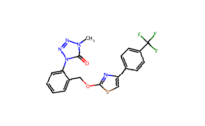 Cn1nnn(-c2ccccc2COc2nc(-c3ccc(C(F)(F)F)cc3)cs2)c1=O